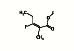 CCC(F)=C(C)C(=O)OF